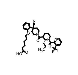 CCC[C@@H]1C(C(=O)N2CCC(C#N)(c3ccccc3OCCCCCC(=O)O)CC2)CCCN1C(=O)c1ncccc1C(F)(F)F